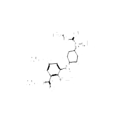 CCN(c1cc(OC)cc(C(=O)OC)c1C)C1CCC(N(C)C(=O)OC(C)(C)C)CC1